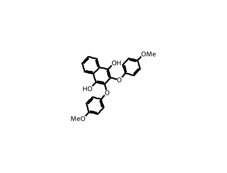 COc1ccc(Oc2c(Oc3ccc(OC)cc3)c(O)c3ccccc3c2O)cc1